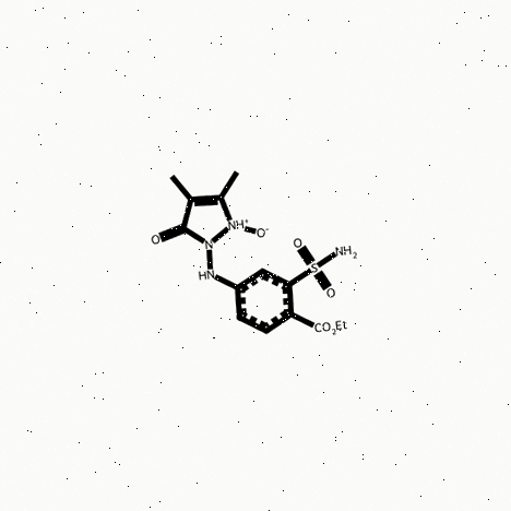 CCOC(=O)c1ccc(NN2C(=O)C(C)=C(C)[NH+]2[O-])cc1S(N)(=O)=O